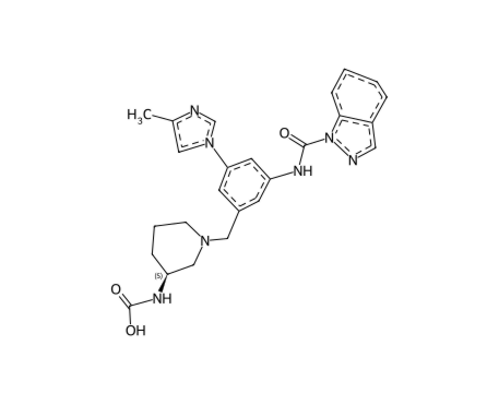 Cc1cn(-c2cc(CN3CCC[C@H](NC(=O)O)C3)cc(NC(=O)n3ncc4ccccc43)c2)cn1